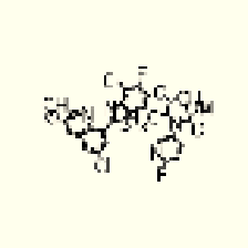 COc1cnc2c(-c3nc4c(Cl)c(F)c(OC(C)C(C)N(C(=O)O)c5ccc(F)nc5)cc4s3)cc(Cl)cc2c1